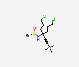 CC(C)(C)[S+]([O-])NC(C#C[Si](C)(C)C)(CCCCl)CCCCl